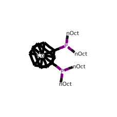 CCCCCCCCP(CCCCCCCC)[C]12[CH]3[CH]4[CH]5[C]1(P(CCCCCCCC)CCCCCCCC)[Co]43521678[CH]2[CH]1[CH]6[CH]7[CH]28